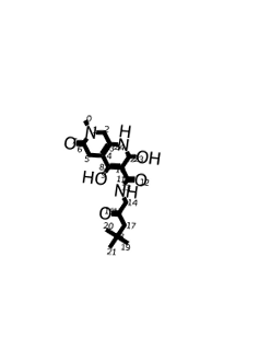 CN1CC2=C(CC1=O)C(O)=C(C(=O)NCC(=O)CC(C)(C)C)C(O)N2